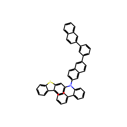 c1ccc(-c2ccccc2N(c2ccc3cc(-c4cccc(-c5ccc6ccccc6c5)c4)ccc3c2)c2ccc3c(c2)sc2ccccc23)cc1